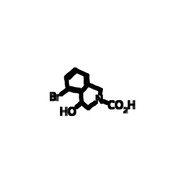 O=C(O)N1Cc2cccc(Br)c2C(O)C1